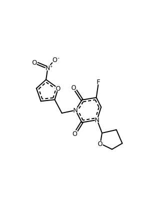 O=c1c(F)cn(C2CCCO2)c(=O)n1Cc1ccc([N+](=O)[O-])o1